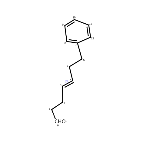 O=[C]CC/C=C/CCc1ccccc1